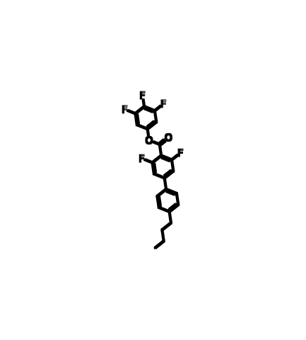 CCCCc1ccc(-c2cc(F)c(C(=O)Oc3cc(F)c(F)c(F)c3)c(F)c2)cc1